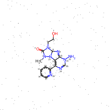 CN1C(=O)N(CCO)C2N=C3C(=C(c4ccccn4)N=CN3N)N21